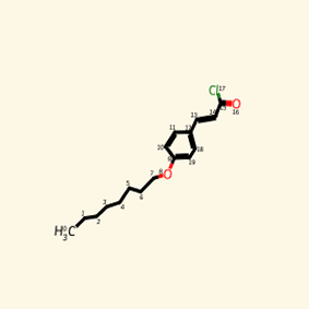 CCCCCCCCOc1ccc(/C=C/C(=O)Cl)cc1